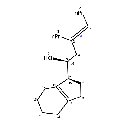 CCC/C=C(\CCC)C[C@H](O)[C@H]1CCC2=C1CCCC2